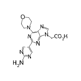 Nc1ncc(-c2nc(N3CCOCC3)c3ncn(CC(=O)O)c3n2)cn1